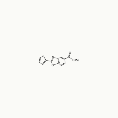 COC(=O)c1ccc2oc(-c3cccs3)nc2c1